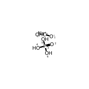 O=C[O-].O=P(O)(O)O.[Na+]